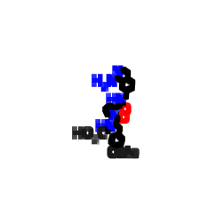 COc1ccc(CC(NCC(=O)O)C(=O)N2CCCC2C(=O)NCc2ccc3ccnc(N)c3c2)cc1